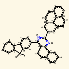 CC1(C)c2ccccc2-c2ccc(-c3nc(-c4cc5ccc6cccc7ccc(c4)c5c67)nc4c3ccc3ccccc34)cc21